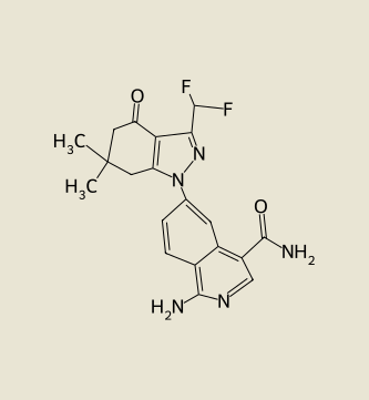 CC1(C)CC(=O)c2c(C(F)F)nn(-c3ccc4c(N)ncc(C(N)=O)c4c3)c2C1